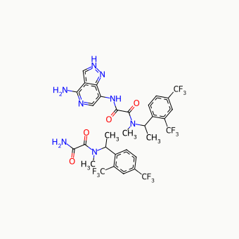 CC(c1ccc(C(F)(F)F)cc1C(F)(F)F)N(C)C(=O)C(=O)Nc1cnc(N)c2c[nH]nc12.CC(c1ccc(C(F)(F)F)cc1C(F)(F)F)N(C)C(=O)C(N)=O